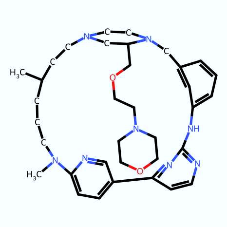 CC1CCCN(C)c2ccc(cn2)-c2ccnc(n2)Nc2cccc(c2)CN2CCN(CC1)CC2COCCN1CCOCC1